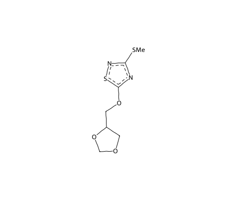 CSc1nsc(OCC2COCO2)n1